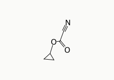 N#CC(=O)OC1CC1